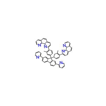 CC1=C(c2ccc3ccc4cccnc4c3n2)C=CC(C2(c3ccc(-c4ccc5ccc6cccnc6c5n4)c(C)c3)c3cc(-c4ccccn4)ccc3-c3ccc(-c4ccccn4)cc32)C1